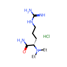 CCN(CC)[C@@H](CCCNC(=N)N)C(N)=O.Cl